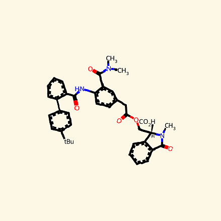 CN(C)C(=O)c1cc(CC(=O)OC[C@@]2(C(=O)O)c3ccccc3C(=O)N2C)ccc1NC(=O)c1ccccc1-c1ccc(C(C)(C)C)cc1